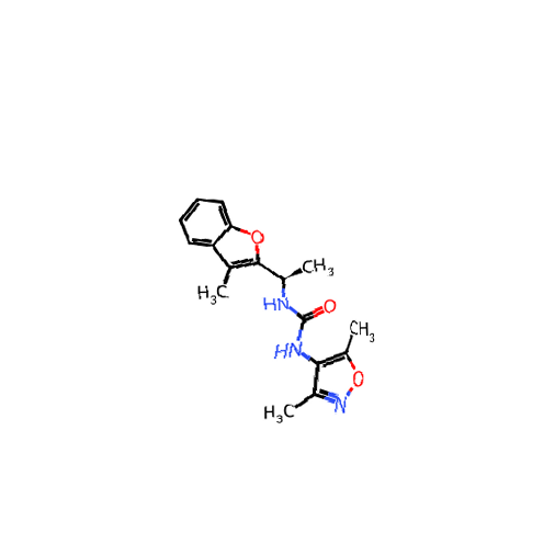 Cc1noc(C)c1NC(=O)N[C@H](C)c1oc2ccccc2c1C